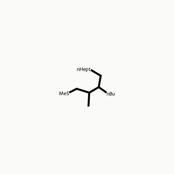 CCCCCCCCC(CCCC)C(C)CSC